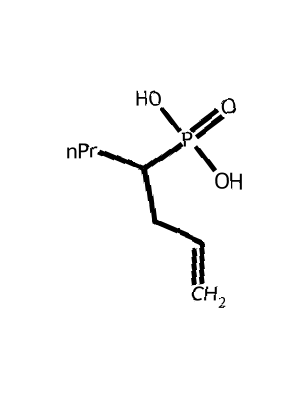 C=CCC(CCC)P(=O)(O)O